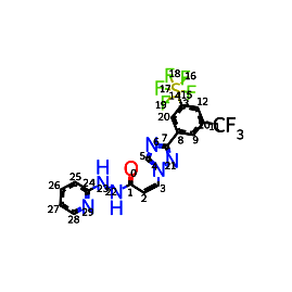 O=C(/C=C\n1cnc(-c2cc(C(F)(F)F)cc(S(F)(F)(F)(F)F)c2)n1)NNc1ccccn1